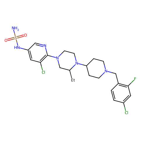 CCC1CN(c2ncc(NS(N)(=O)=O)cc2Cl)CCN1C1CCN(Cc2ccc(Cl)cc2F)CC1